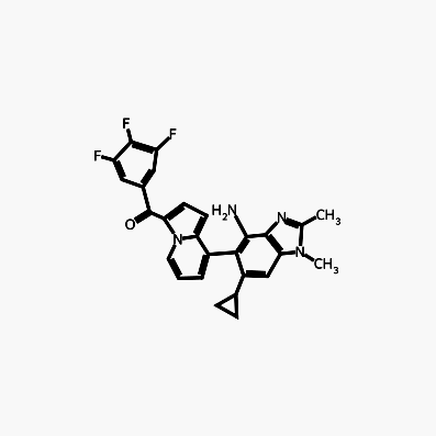 Cc1nc2c(N)c(-c3cccn4c(C(=O)c5cc(F)c(F)c(F)c5)ccc34)c(C3CC3)cc2n1C